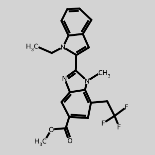 CCn1c(-c2nc3cc(C(=O)OC)cc(CC(F)(F)F)c3n2C)cc2ccccc21